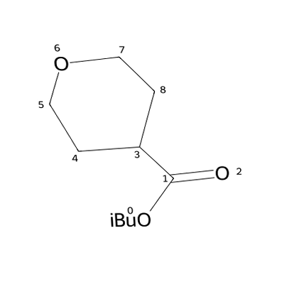 CC(C)COC(=O)C1CCOCC1